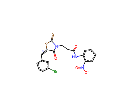 O=C(CCN1C(=O)/C(=C\c2cccc(Br)c2)SC1=S)Nc1ccccc1[N+](=O)[O-]